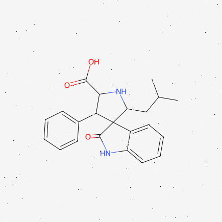 CC(C)CC1NC(C(=O)O)C(c2ccccc2)C12C(=O)Nc1ccccc12